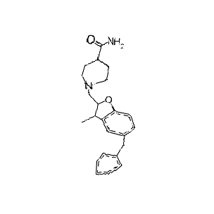 CC1c2cc(Cc3ccccc3)ccc2OC1CN1CCC(C(N)=O)CC1